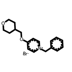 [Br-].c1ccc(C[n+]2ccc(OCC3CCOCC3)cc2)cc1